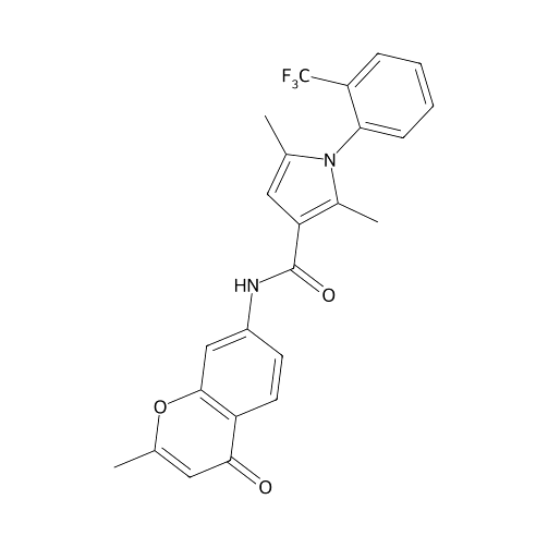 Cc1cc(=O)c2ccc(NC(=O)c3cc(C)n(-c4ccccc4C(F)(F)F)c3C)cc2o1